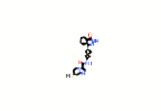 N#Cc1ccn2c(C(=O)N[C@H]3CC4(C3)C[C@H](c3n[nH]c(=O)c5ccccc53)C4)cnc2c1